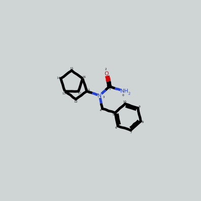 NC(=O)N(Cc1ccccc1)C1CC2CCC1C2